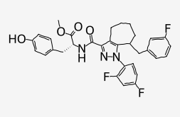 COC(=O)[C@@H](Cc1ccc(O)cc1)NC(=O)c1nn(-c2ccc(F)cc2F)c2c1CCCCC2Cc1cccc(F)c1